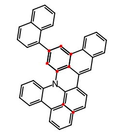 c1ccc(-c2ccccc2N(c2cccc(-c3cccc4ccccc34)c2)c2ccccc2-c2cc3ccccc3c3ccccc23)cc1